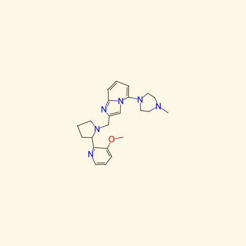 COc1cccnc1C1CCCN1Cc1cn2c(N3CCN(C)CC3)cccc2n1